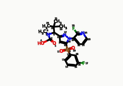 CN(C(=O)O)C(c1cc(S(=O)(=O)c2cccc(F)c2)n(-c2cccnc2F)n1)C(C)(C)C